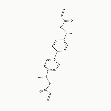 C=CC(=O)OC(C)c1ccc(-c2ccc(C(C)OC(=O)C=C)cc2)cc1